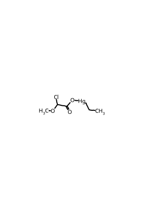 CC[CH2][Hg][O]C(=O)C(Cl)OC